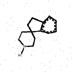 CC(=O)N1CCC2(CCc3ccccc32)CC1